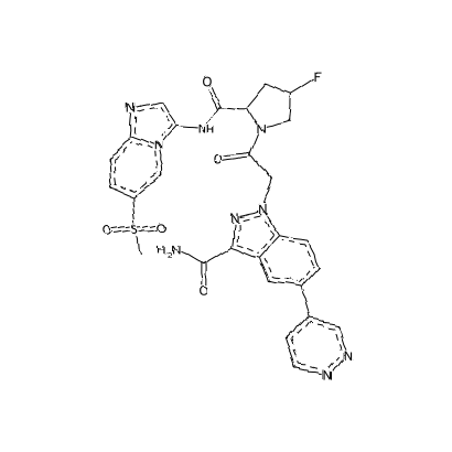 CS(=O)(=O)c1ccc2ncc(NC(=O)C3CC(F)CN3C(=O)Cn3nc(C(N)=O)c4cc(-c5ccnnc5)ccc43)n2c1